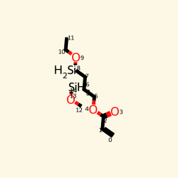 C=CC(=O)OCCC[SiH2]OCC.CO[SiH3]